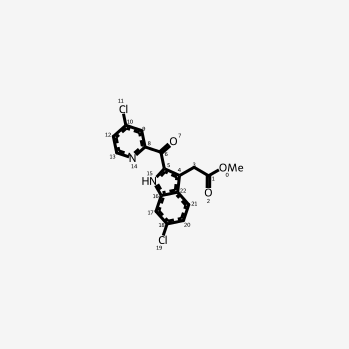 COC(=O)Cc1c(C(=O)c2cc(Cl)ccn2)[nH]c2cc(Cl)ccc12